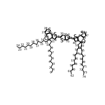 CCCCCCCCCCCCC1(CCCCCCCCCCCC)Oc2ccsc2-c2sc(-c3cc4sc(-c5cc6c(s5)-c5sccc5OC6(CCCCCCCCCCCC)CCCCCCCCCCCC)cc4s3)cc21